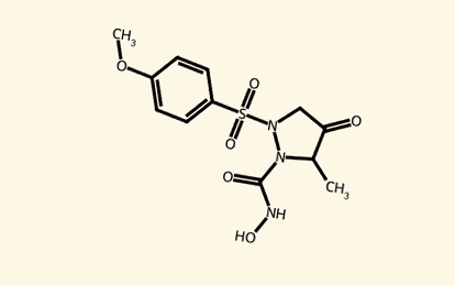 COc1ccc(S(=O)(=O)N2CC(=O)C(C)N2C(=O)NO)cc1